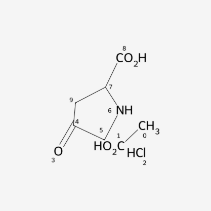 CC(=O)O.Cl.O=C1CNC(C(=O)O)C1